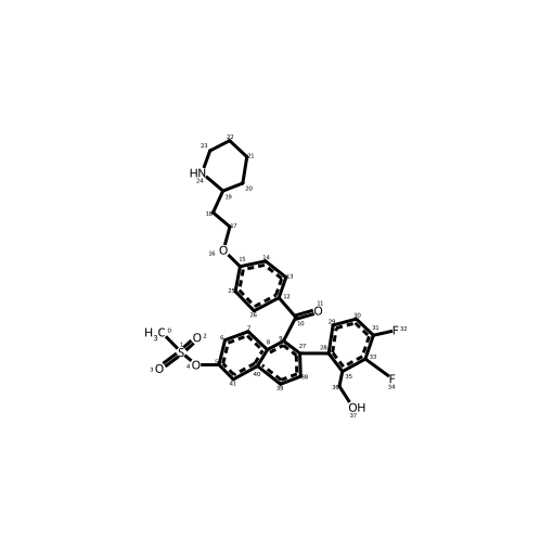 CS(=O)(=O)Oc1ccc2c(C(=O)c3ccc(OCCC4CCCCN4)cc3)c(-c3ccc(F)c(F)c3CO)ccc2c1